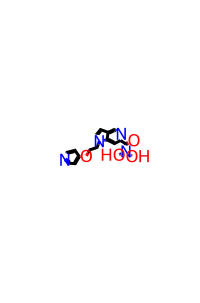 O=C(c1cc2c(ccn2CCOc2ccncc2)cn1)N(O)O